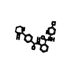 O=C(Nc1ccccc1C(=O)Nc1ccc(Cl)cn1)c1ccc(C2=NCCCN2)cc1